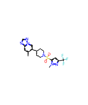 Cc1cc2ncnn2cc1C1CCN(S(=O)(=O)c2cc(C(F)(F)F)nn2C)CC1